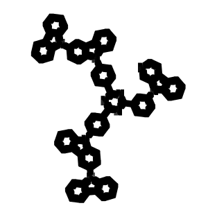 c1cc(-c2nc(-c3ccc(-n4c5ccccc5c5cc(-n6c7ccccc7c7ccccc76)ccc54)cc3)nc(-c3ccc(-n4c5ccccc5c5cc(-n6c7ccccc7c7ccccc76)ccc54)cc3)n2)cc(-n2c3ccccc3c3ccncc32)c1